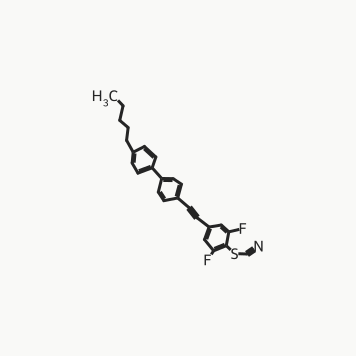 CCCCCc1ccc(-c2ccc(C#Cc3cc(F)c(SC#N)c(F)c3)cc2)cc1